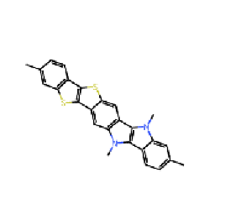 Cc1ccc2c(c1)sc1c3cc4c(cc3sc21)c1c(c2ccc(C)cc2n1C)n4C